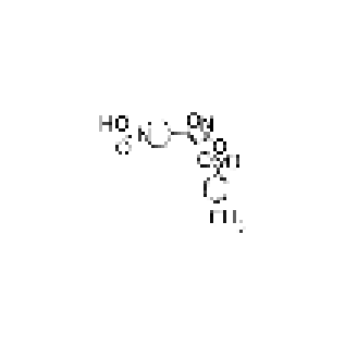 Cc1ccc(S(=O)(=O)Oc2cc(C3CCN(C(=O)O)CC3)on2)cc1